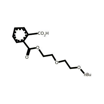 CCCCOCCOCCOC(=O)c1ccccc1C(=O)O